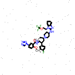 CCC(CC(CNC(=O)c1cc(-n2cnnn2)ccc1OC)c1ccc(F)cc1)N1CCC(Nc2nc3ccccc3n2CCOC(F)(F)F)CC1